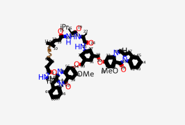 CCCCCCCCNC(=O)CCCSSC(C)(C)CCC(=O)N[C@H](C(=O)N[C@@H](C)C(=O)Nc1cc(COc2cc3c(cc2OC)C(=O)N2c4ccccc4C[C@H]2C=N3)cc(COc2cc3c(cc2OC)C(=O)N2c4ccccc4C[C@H]2C=N3)c1)C(C)C